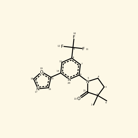 CC1(C)CCN(c2cc(C(F)(F)F)cc(-c3cnco3)n2)C1=O